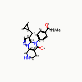 CNC(=O)c1ccc(-n2c(=O)c3c(n4ncc(CC5CC5)c24)CNCC3)cc1